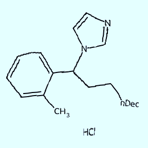 CCCCCCCCCCCCC(c1ccccc1C)n1ccnc1.Cl